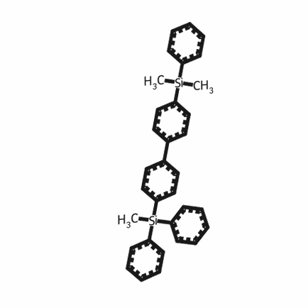 C[Si](C)(c1ccccc1)c1ccc(-c2ccc([Si](C)(c3ccccc3)c3ccccc3)cc2)cc1